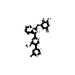 Cc1cc(-c2cnc(-c3nc(Cc4cc(F)cc(F)c4F)n4ncccc34)nc2N)ccn1